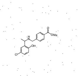 COC(=O)c1ccc(CNC(C)c2cc(Cl)ccc2O)cc1